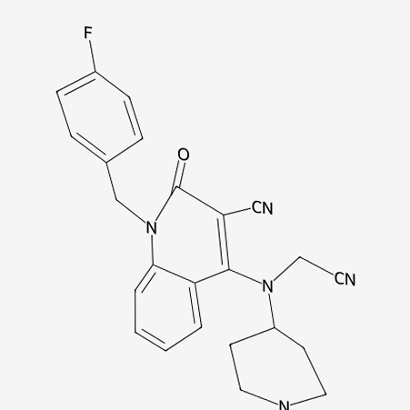 N#CCN(c1c(C#N)c(=O)n(Cc2ccc(F)cc2)c2ccccc12)C1CCNCC1